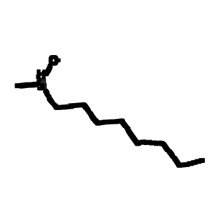 CCCCCCCC[SiH](C)[O]